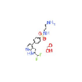 NCCCNS(=O)(=O)c1ccc(-c2ccnc3[nH]c(C(F)F)cc23)cc1.O=CO